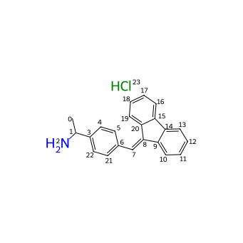 CC(N)c1ccc(C=C2c3ccccc3-c3ccccc32)cc1.Cl